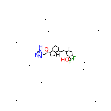 C[C@H]1CC[C@](O)(C(F)F)C[C@H]1CC[C@@H]1CCC[C@]2(C)[C@@H](C(=O)Cc3nnc[nH]3)CC[C@@H]12